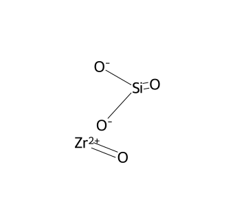 O=[Si]([O-])[O-].[O]=[Zr+2]